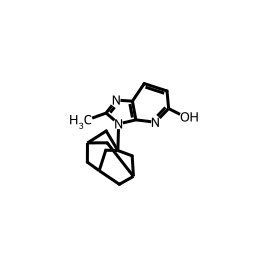 Cc1nc2ccc(O)nc2n1C12CC3CC(CC(C3)C1)C2